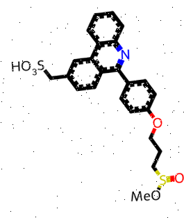 COS(=O)CCCOc1ccc(-c2nc3ccccc3c3cc(CS(=O)(=O)O)ccc23)cc1